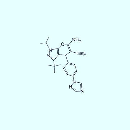 CC(C)n1nc(C(C)(C)C)c2c1OC(N)=C(C#N)C2c1ccc(-n2cncn2)cc1